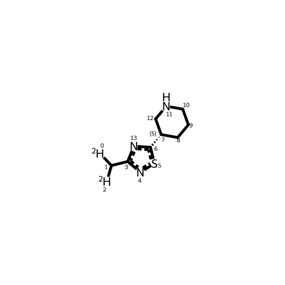 [2H]C([2H])c1nsc([C@H]2CCCNC2)n1